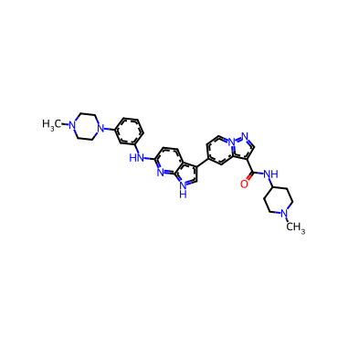 CN1CCC(NC(=O)c2cnn3ccc(-c4c[nH]c5nc(Nc6cccc(N7CCN(C)CC7)c6)ccc45)cc23)CC1